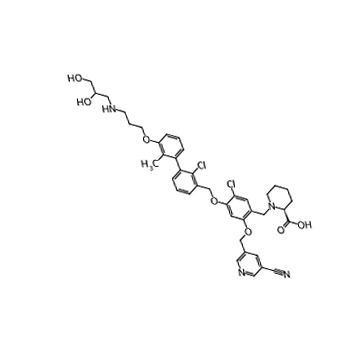 Cc1c(OCCCNCC(O)CO)cccc1-c1cccc(COc2cc(OCc3cncc(C#N)c3)c(CN3CCCC[C@H]3C(=O)O)cc2Cl)c1Cl